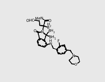 BC(CCC=O)(C(=O)NC)N1C(=O)c2cccc(NCc3ccc(CN4CCOCC4)cc3F)c2C1(B)B